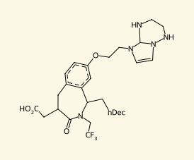 CCCCCCCCCCCC1c2cc(OCCN3C=CN4NCCNC34)ccc2CC(CC(=O)O)C(=O)N1CC(F)(F)F